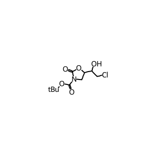 CC(C)(C)OC(=O)N1CC(C(O)CCl)OC1=O